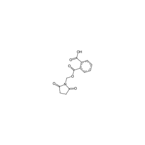 O=C(O)c1ccccc1C(=O)OCN1C(=O)CCC1=O